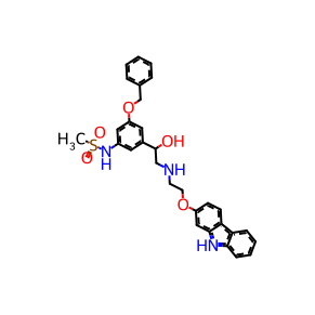 CS(=O)(=O)Nc1cc(OCc2ccccc2)cc(C(O)CNCCOc2ccc3c(c2)[nH]c2ccccc23)c1